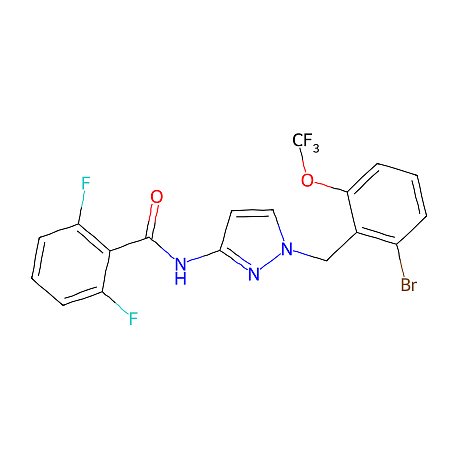 O=C(Nc1ccn(Cc2c(Br)cccc2OC(F)(F)F)n1)c1c(F)cccc1F